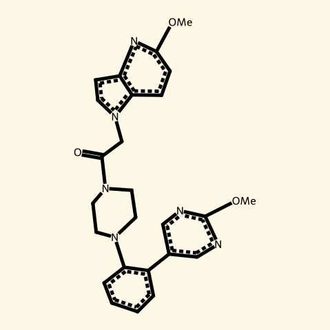 COc1ccc2c(ccn2CC(=O)N2CCN(c3ccccc3-c3cnc(OC)nc3)CC2)n1